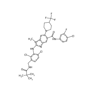 Cn1c(Nc2c(Cl)ccc(CNC(=O)C(C)(C)C)c2Cl)nc2cc(C(=O)Nc3ccc(Cl)c(F)c3)c(N3CCC(C(F)(F)F)CC3)cc21